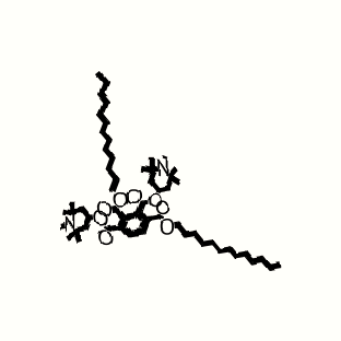 CCCCCCCCCCCCCOC(=O)c1ccc(C(=O)OC2CC(C)(C)N(C)C(C)(C)C2)c(C(=O)OCCCCCCCCCCCCC)c1C(=O)OC1CC(C)(C)N(C)C(C)(C)C1